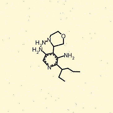 CCCC(CC)c1ncc(N)c(C2COCCN2N)c1N